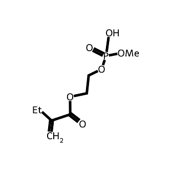 C=C(CC)C(=O)OCCOP(=O)(O)OC